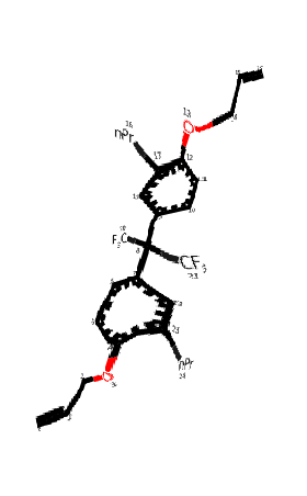 C=CCOc1ccc(C(c2ccc(OCC=C)c(CCC)c2)(C(F)(F)F)C(F)(F)F)cc1CCC